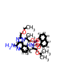 CCOCc1nc2c(N)nc3ccccc3c2n1[C@@H](C)CO[P@@](=O)(N[C@@H](C)C(=O)OC(C)C)Oc1cccc2ccccc12